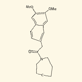 COc1cc2ccc(CC(=O)N3CCCCCC3)cc2cc1OC